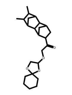 CC1C(C)C2CC1C1C3CC(C(=O)COC4COC5(CCCCC5)O4)C(C3)C21